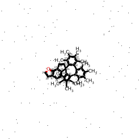 Cc1c(C)c(C)c2c(c1C)-c1c(C)c(C)c(C)c(C)c1C1(C=Cc3c1ccc1ccoc31)c1c(C)c(C)c(C)c(C)c1-2